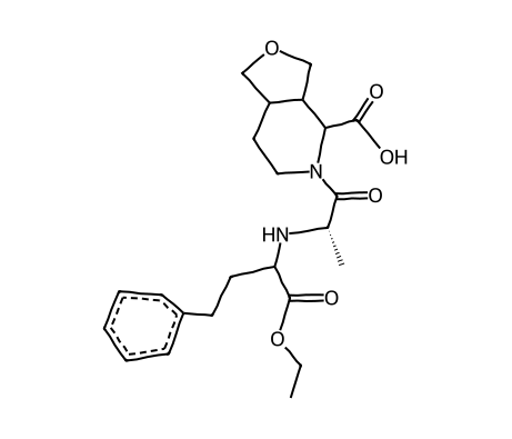 CCOC(=O)C(CCc1ccccc1)N[C@@H](C)C(=O)N1CCC2COCC2C1C(=O)O